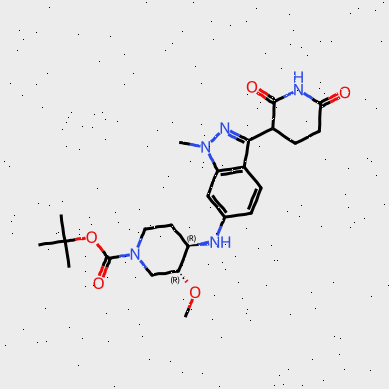 CO[C@@H]1CN(C(=O)OC(C)(C)C)CC[C@H]1Nc1ccc2c(C3CCC(=O)NC3=O)nn(C)c2c1